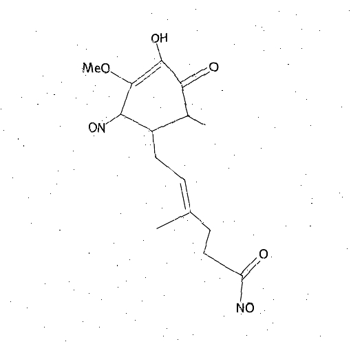 COC1=C(O)C(=O)C(C)C(C/C=C(\C)CCC(=O)N=O)C1N=O